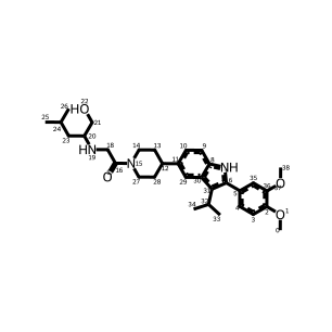 COc1ccc(-c2[nH]c3ccc(C4CCN(C(=O)CNC(CO)CC(C)C)CC4)cc3c2C(C)C)cc1OC